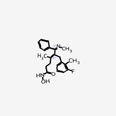 C/N=C(\C(Cc1cccc(F)c1C)=C(/C)CCC(=O)NO)c1ccccc1